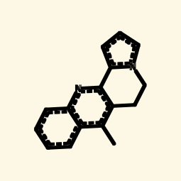 Cc1c2c(nc3ccccc13)-c1cccn1CC2